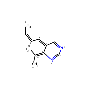 C/C=C\C=c1\cncnc1=C(C)C